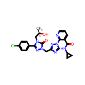 O=C(NC1CC1)c1cccnc1-n1cnc(Cn2nc(-c3ccc(Cl)cc3)n(C[C@H](O)C(F)(F)F)c2=O)n1